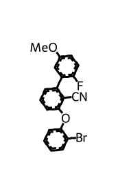 COc1ccc(F)c(-c2cccc(Oc3ccccc3Br)c2C#N)c1